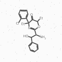 CCC1OC(C(N)C(O)c2ccccc2)=NC(CC)(c2ccccc2Cl)C1=O